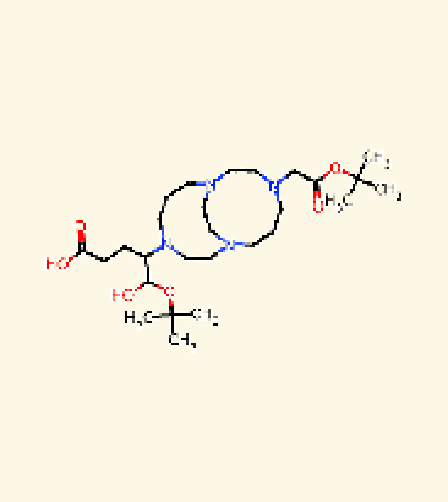 CC(C)(C)OC(=O)CN1CCCN2CCN(CCCN(C(CCC(=O)O)C(O)OC(C)(C)C)CC2)CC1